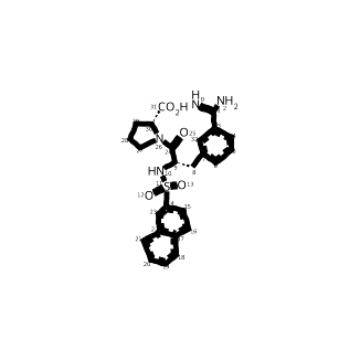 N=C(N)c1cccc(C[C@H](NS(=O)(=O)c2ccc3ccccc3c2)C(=O)N2CCC[C@@H]2C(=O)O)c1